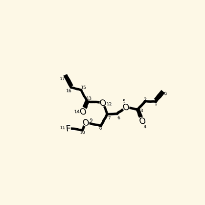 C=CCC(=O)OCC(COCF)OC(=O)CC=C